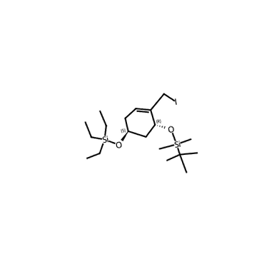 CC[Si](CC)(CC)O[C@H]1CC=C(CI)[C@H](O[Si](C)(C)C(C)(C)C)C1